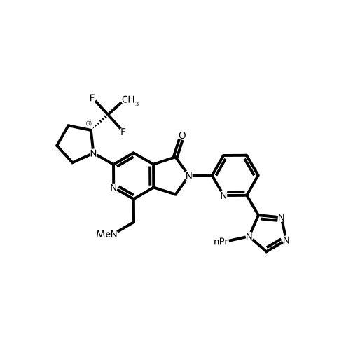 CCCn1cnnc1-c1cccc(N2Cc3c(cc(N4CCC[C@@H]4C(C)(F)F)nc3CNC)C2=O)n1